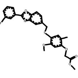 COC(=O)COc1cc(OC)c(SCc2ccc3oc(-c4cccc(F)c4)nc3c2)cc1C